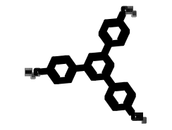 Cc1ccc(-c2cc(-c3ccc(C)cc3)cc(-c3ccc(C)cc3)c2)cc1